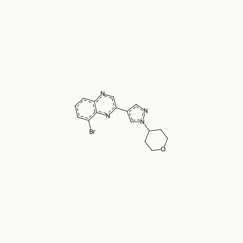 Brc1cccc2ncc(-c3cnn(C4CCOCC4)c3)nc12